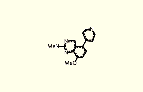 CNc1ncc2c(-c3ccncc3)ccc(OC)c2n1